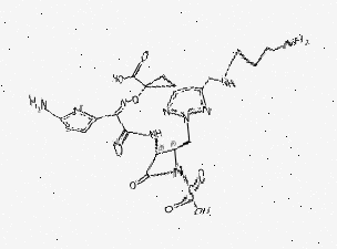 NCCCNCc1cnn(C[C@@H]2[C@H](NC(=O)C(=NOC3(C(=O)O)CC3)c3csc(N)n3)C(=O)N2S(=O)(=O)O)n1